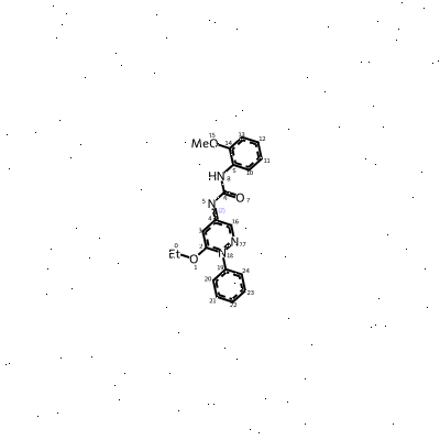 CCOc1c/c(=N/C(=O)Nc2ccccc2OC)cnn1-c1ccccc1